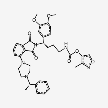 COc1ccc([C@@H](CCCNC(=O)Oc2conc2C)N2C(=O)c3cccc(N4CCN([C@H](C)c5ccccc5)CC4)c3C2=O)cc1OC